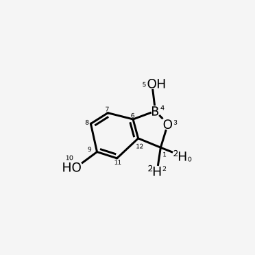 [2H]C1([2H])OB(O)c2ccc(O)cc21